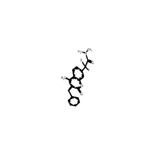 Cc1c(Cc2ccccc2)c(=O)oc2cc(C(F)(F)C(=O)N(C)C)ccc12